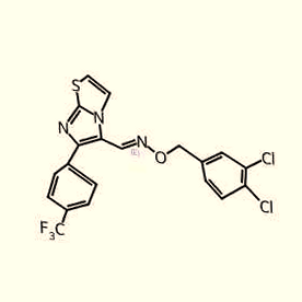 FC(F)(F)c1ccc(-c2nc3sccn3c2/C=N/OCc2ccc(Cl)c(Cl)c2)cc1